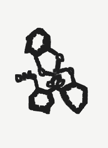 COc1ccccc1OP12(Oc3ccccc3O1)Oc1ccccc1O2